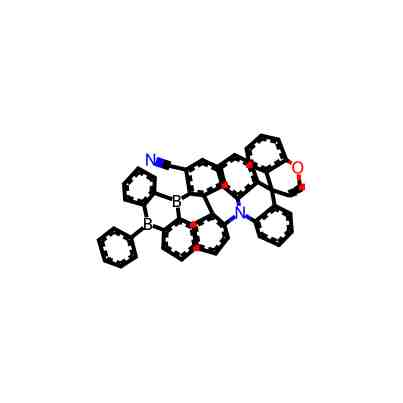 N#Cc1cccc(-c2ccccc2N2c3ccccc3C3(c4ccccc4Oc4ccccc43)c3ccccc32)c1B1c2ccccc2B(c2ccccc2)c2ccccc21